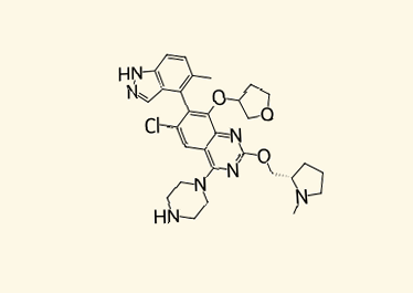 Cc1ccc2[nH]ncc2c1-c1c(Cl)cc2c(N3CCNCC3)nc(OC[C@@H]3CCCN3C)nc2c1OC1CCOC1